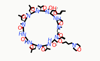 C=CCN1C(=O)CN(C)C(=O)[C@H](CC)NC(=O)[C@@H]([C@H](O)[C@H](C)C/C=C/C)N(C)C(=O)[C@H](C(C)C)N(C)C(=O)[C@H](CC(C)C)N(C)C(=O)[C@H](CC(C)C)N(C)C(=O)[C@@H](C)NC(=O)[C@H](C)NC(=O)[C@H](CC(C)C)N(C)C(=O)[C@H](C(C)C)NC(=O)[C@@H]1[C@@H](C)OCCCCN1CCOCC1